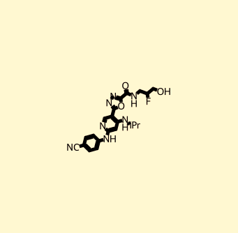 CC(C)Nc1cc(Nc2ccc(C#N)cc2)ncc1-c1nnc(C(=O)NCC(F)CO)o1